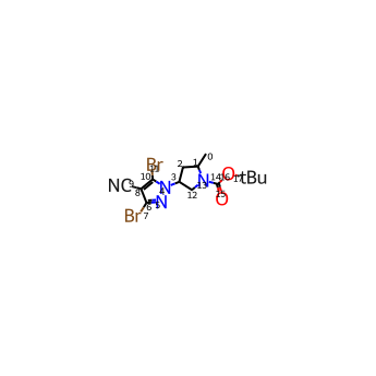 CC1CC(n2nc(Br)c(C#N)c2Br)CN1C(=O)OC(C)(C)C